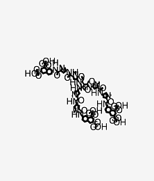 Cn1cc(NC(=O)c2cc(NC(C=O)C(C(C=O)Nc3cc(C(=O)Nc4cc(C(=O)Nc5ccc6cc(S(=O)(=O)O)cc(S(=O)(=O)O)c6c5)n(C)c4)n(C)c3)C(C=O)Nc3cc(C(=O)Nc4cc(C(=O)Nc5ccc6cc(S(=O)(=O)O)cc(S(=O)(=O)O)c6c5)n(C)c4)n(C)c3)cn2C)cc1C(=O)Nc1ccc2cc(S(=O)(=O)O)cc(S(=O)(=O)O)c2c1